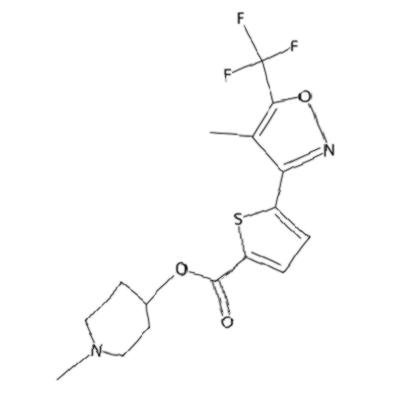 Cc1c(-c2ccc(C(=O)OC3CCN(C)CC3)s2)noc1C(F)(F)F